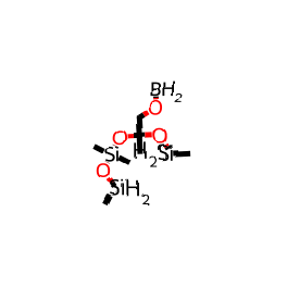 BOCC(C)(O[SiH2]C)O[Si](C)(C)O[SiH2]C